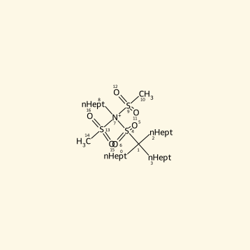 CCCCCCCC(CCCCCCC)(CCCCCCC)S(=O)(=O)[N+](CCCCCCC)(S(C)(=O)=O)S(C)(=O)=O